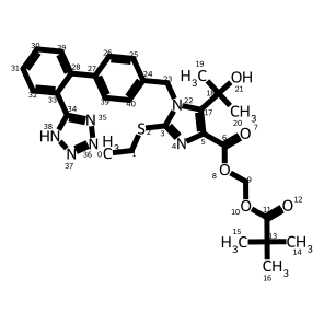 CCSc1nc(C(=O)OCOC(=O)C(C)(C)C)c(C(C)(C)O)n1Cc1ccc(-c2ccccc2-c2nnn[nH]2)cc1